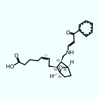 O=C(O)CCC/C=C\C[C@H]1[C@@H](CNC=CC(=O)c2ccccc2)[C@H]2CC[C@@H]1O2